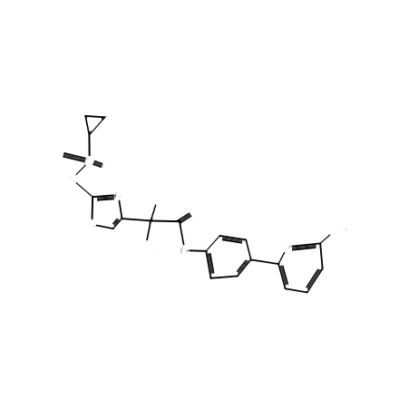 COc1cccc(-c2ccc(NC(=O)C(C)(C)c3csc(NS(=O)(=O)C4CC4)n3)cc2)n1